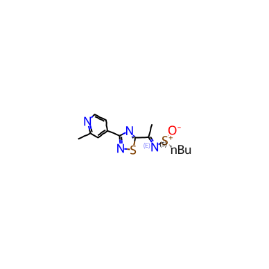 CCCC[S@@+]([O-])/N=C(\C)c1nc(-c2ccnc(C)c2)ns1